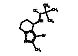 Cc1nn2c(c1Br)[C@H](N[S@+]([O-])C(C)(C)C)CCC2